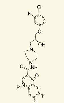 O=C(NN1CCN(C[C@H](O)COc2ccc(Cl)c(F)c2)CC1)c1cn(F)c2cc(Cl)c(F)cc2c1=O